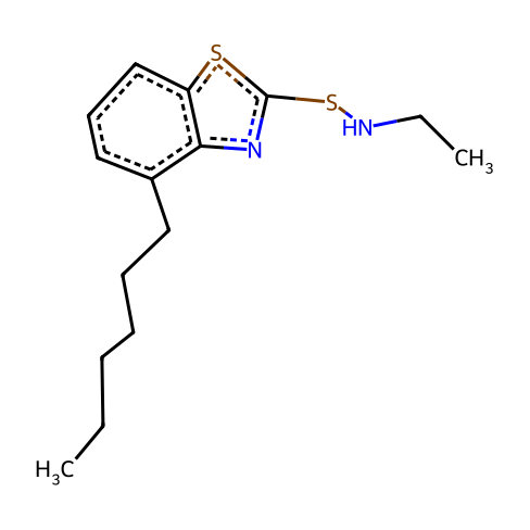 CCCCCCc1cccc2sc(SNCC)nc12